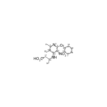 Cc1nc(Oc2ccccc2)c([N+](=O)[O-])c(NC(C)CC(=O)O)c1C